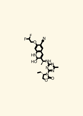 CC[C@H]1COC(=O)N1c1nc(C)nc(N[C@@H](C)C2=Cc3cc(C#N)c(OCC(F)F)cc3NC2O)n1